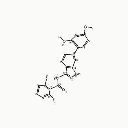 COc1ccc(-c2ccc3c(NC(=O)c4c(F)cccc4F)n[nH]c3c2)c(OC)c1